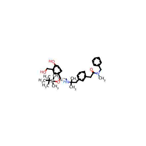 CN(Cc1ccccc1)C(=O)Cc1cccc(CC(C)(C)NC[C@H](O[Si](C)(C)C(C)(C)C)c2ccc(O)c(CO)c2)c1